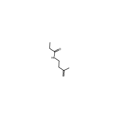 C=C(C)CCNC(=O)CC